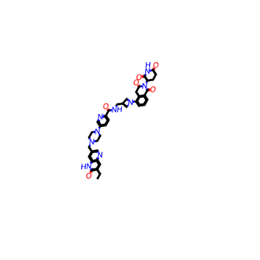 CCc1cc2ncc(CN3CCN(c4ccc(C(=O)NCC5CN(c6cccc7c6CC(=O)N(C6CCC(=O)NC6=O)C7=O)C5)nc4)CC3)cc2[nH]c1=O